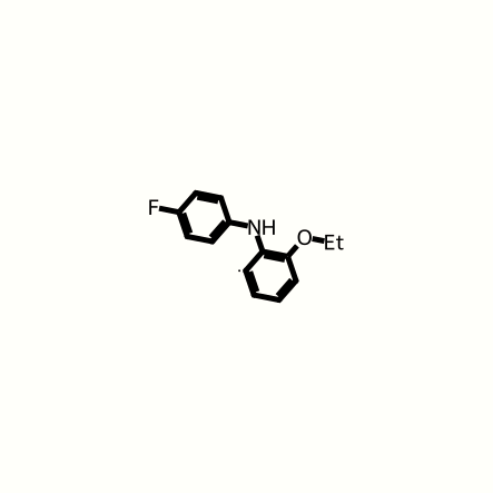 CCOc1ccc[c]c1Nc1ccc(F)cc1